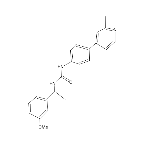 COc1cccc(C(C)NC(=O)Nc2ccc(-c3ccnc(C)c3)cc2)c1